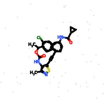 Cc1nsc(C#Cc2ccc(NC(=O)C3CC3)cc2)c1NC(=O)OC(C)c1ccccc1Cl